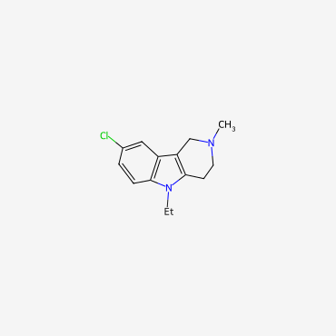 CCn1c2c(c3cc(Cl)ccc31)CN(C)CC2